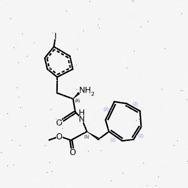 COC(=O)[C@H](CC1=C/C=C\C=C/C=C\1)NC(=O)[C@H](N)Cc1ccc(I)cc1